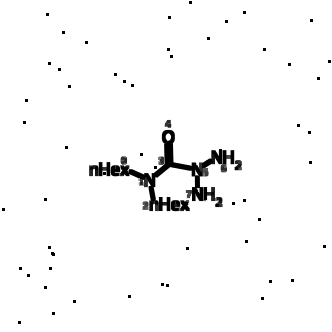 CCCCCCN(CCCCCC)C(=O)N(N)N